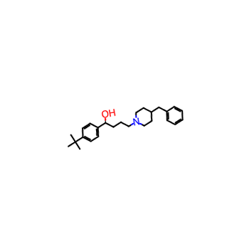 CC(C)(C)c1ccc([C@@H](O)CCCN2CCC(Cc3ccccc3)CC2)cc1